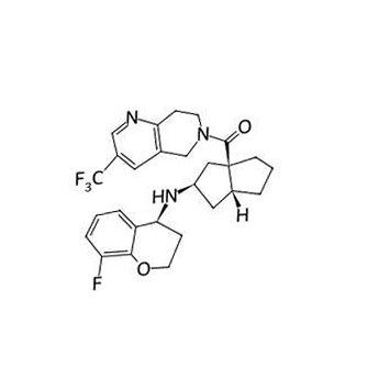 O=C(N1CCc2ncc(C(F)(F)F)cc2C1)[C@@]12CCC[C@@H]1C[C@@H](N[C@H]1CCOc3c(F)cccc31)C2